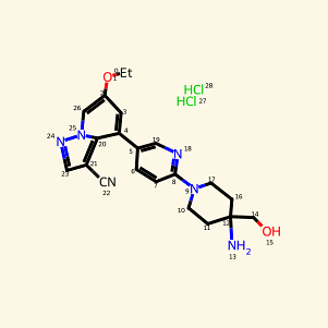 CCOc1cc(-c2ccc(N3CCC(N)(CO)CC3)nc2)c2c(C#N)cnn2c1.Cl.Cl